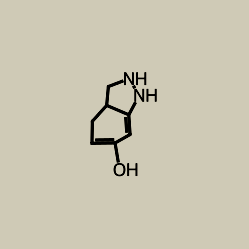 OC1=CCC2CNNC2=C1